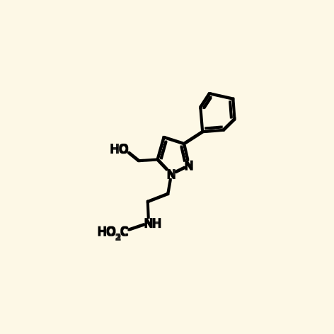 O=C(O)NCCn1nc(-c2ccccc2)cc1CO